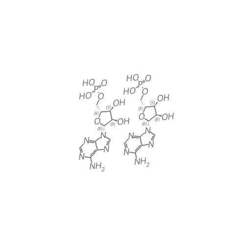 Nc1ncnc2c1ncn2[C@@H]1O[C@H](COP(=O)(O)O)[C@@H](O)[C@H]1O.Nc1ncnc2c1ncn2[C@@H]1O[C@H](COP(=O)(O)O)[C@@H](O)[C@H]1O